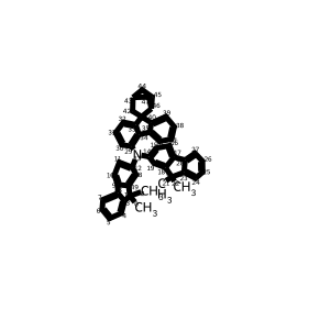 CC1(C)c2ccccc2-c2ccc(N(c3ccc4c(c3)C(C)(C)c3ccccc3-4)c3cccc4c3-c3ccccc3C43CC4CCC3C4)cc21